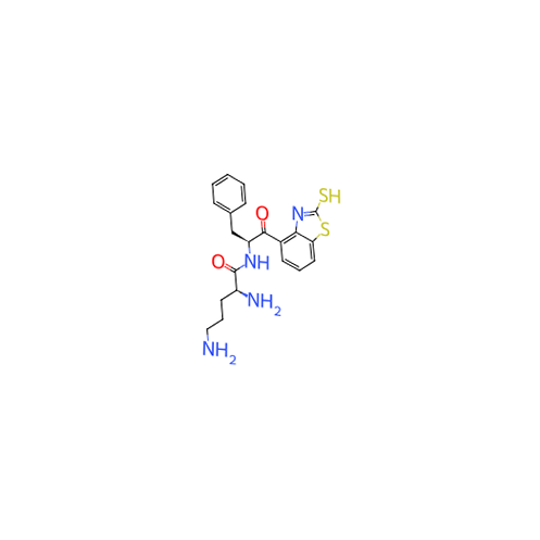 NCCC[C@H](N)C(=O)N[C@@H](Cc1ccccc1)C(=O)c1cccc2sc(S)nc12